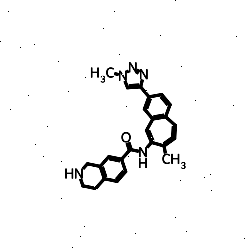 CC1=C=Cc2ccc(-c3cn(C)nn3)cc2C=C1NC(=O)c1ccc2c(c1)CNCC2